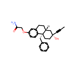 CC#C[C@@]1(O)CC[C@@]2(Cc3ccccc3)c3ccc(OCC(N)=O)cc3CC[C@@H]2C1